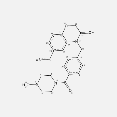 CN1CCN(C(=O)c2ccc(CN3C(=O)COc4ccc(C=O)cc43)cc2)CC1